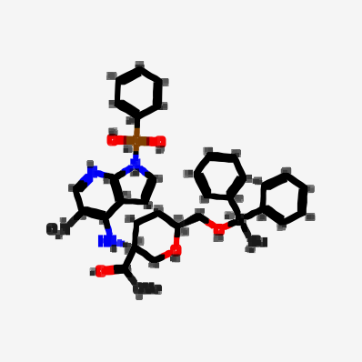 COC(=O)[C@@]1(Nc2c([N+](=O)[O-])cnc3c2ccn3S(=O)(=O)c2ccccc2)CC[C@@H](CO[Si](c2ccccc2)(c2ccccc2)C(C)(C)C)OC1